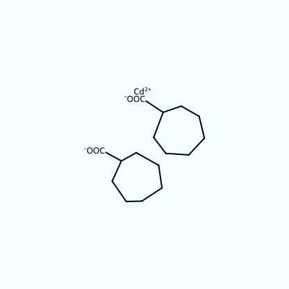 O=C([O-])C1CCCCCC1.O=C([O-])C1CCCCCC1.[Cd+2]